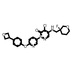 O=c1c(Cl)c(NC[C@@]2(F)CCCOC2)cnn1-c1ccc(Oc2ccc(C3COC3)cc2)nc1